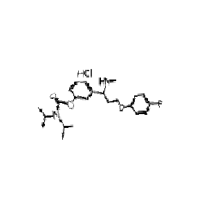 CNC(CCOc1ccc(F)cc1)c1cccc(OC(=O)N(C(C)C)C(C)C)c1.Cl